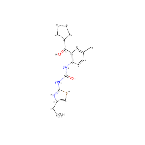 Cc1ccc(NC(=O)Nc2nc(CC(=O)O)cs2)c(C(=O)C2CCCC2)c1